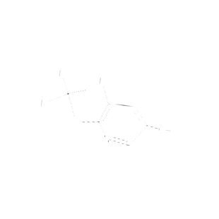 Cc1cnc(OC(F)(F)F)c(F)c1